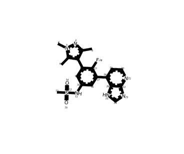 Cc1nn(C)c(C)c1-c1cc(NS(C)(=O)=O)cc(-c2ccnc3nc[nH]c23)c1F